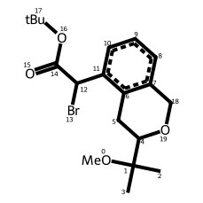 COC(C)(C)C1Cc2c(cccc2C(Br)C(=O)OC(C)(C)C)CO1